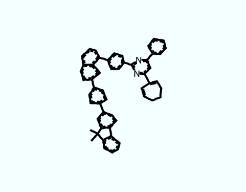 CC1(C)c2ccccc2-c2ccc(-c3ccc(-c4ccc5cccc(-c6ccc(-c7nc(C8=CCCCC=C8)cc(-c8ccccc8)n7)cc6)c5c4)cc3)cc21